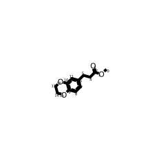 COC(=O)CCc1ccc2c(c1)OCCO2